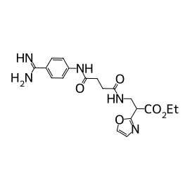 CCOC(=O)C(CNC(=O)CCC(=O)Nc1ccc(C(=N)N)cc1)c1ncco1